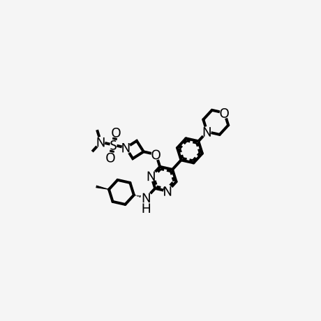 CN(C)S(=O)(=O)N1CC(Oc2nc(N[C@H]3CC[C@H](C)CC3)ncc2-c2ccc(N3CCOCC3)cc2)C1